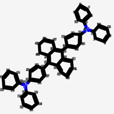 C1=CCC(N(c2ccccc2)c2ccc(-c3c4c(c(-c5ccc(N(c6ccccc6)c6ccccc6)cc5)c5ccccc35)CCC=C4)cc2)C=C1